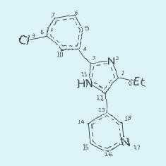 CCc1nc(-c2cccc(Cl)c2)[nH]c1-c1cccnc1